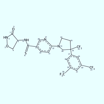 O=C1NOCC1NC(=S)c1ccc(N2CCC(c3cc(C(F)(F)F)cc(C(F)(F)F)c3)(C(F)(F)F)C2)nc1